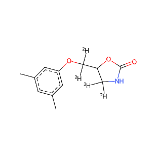 [2H]C1([2H])NC(=O)OC1C([2H])([2H])Oc1cc(C)cc(C)c1